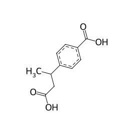 CC(CC(=O)O)c1ccc(C(=O)O)cc1